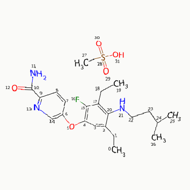 CCc1cc(Oc2ccc(C(N)=O)nc2)c(F)c(CC)c1NCCC(C)C.CS(=O)(=O)O